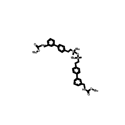 CC(C)(C)OC(=O)NCc1cccc(-c2ccc(CC[Si](C)(O[Si](C)(CCc3ccc(-c4cccc(CNC(=O)OC(C)(C)C)c4)cc3)C(C)(C)C)C(C)(C)C)cc2)c1